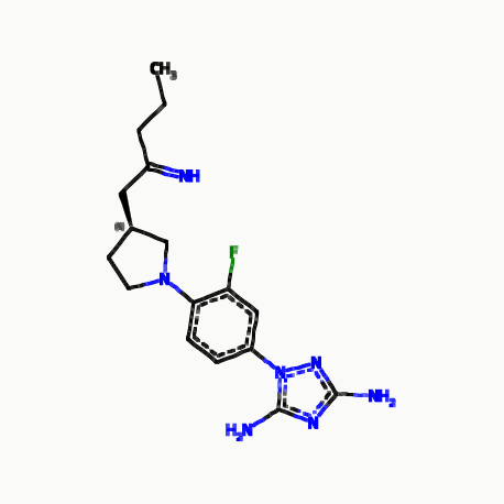 CCCC(=N)C[C@@H]1CCN(c2ccc(-n3nc(N)nc3N)cc2F)C1